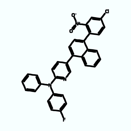 O=[N+]([O-])c1cc(Cl)ccc1-c1ccc(-c2ccc(N(c3ccccc3)c3ccc(F)cc3)nc2)c2ccccc12